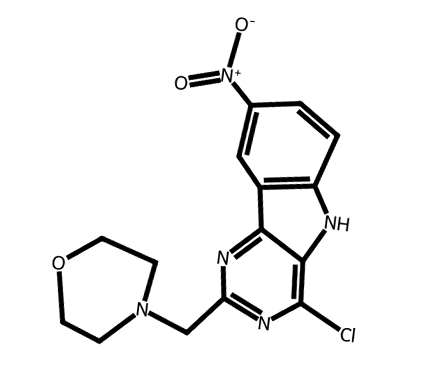 O=[N+]([O-])c1ccc2[nH]c3c(Cl)nc(CN4CCOCC4)nc3c2c1